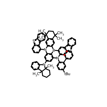 CC(C)(C)c1ccc(N2c3cc4sc5ccccc5c4cc3B3c4cc5c(cc4N(c4cccc6sc7ccccc7c46)c4cc(N6c7ccccc7C7(C)CCCCC67C)cc2c43)C(C)(C)CCC5(C)C)c(-c2ccccc2)c1